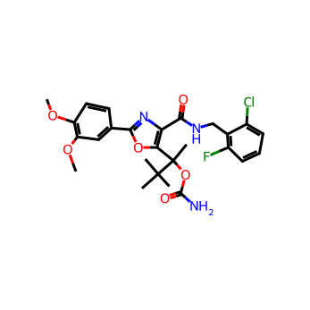 COc1ccc(-c2nc(C(=O)NCc3c(F)cccc3Cl)c(C(C)(OC(N)=O)C(C)(C)C)o2)cc1OC